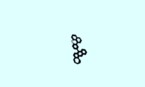 C1#Cc2c(ccc3c(-c4ccc5c(c4)C4=C6C(=CC=CC6CC=C4)S5)c4ccccc4cc23)C=CC1